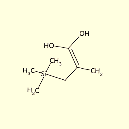 CC(C[Si](C)(C)C)=C(O)O